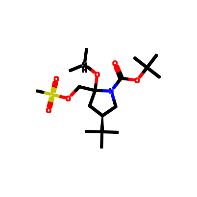 C[SiH](C)OC1(COS(C)(=O)=O)C[C@H](C(C)(C)C)CN1C(=O)OC(C)(C)C